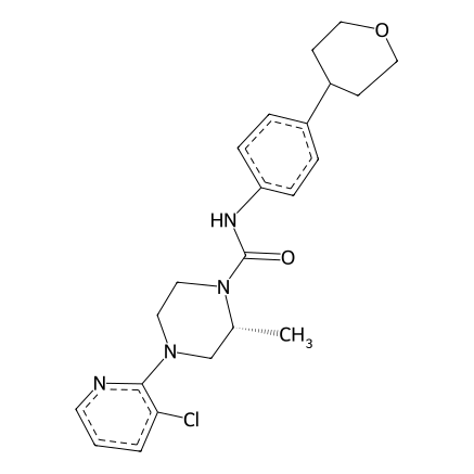 C[C@@H]1CN(c2ncccc2Cl)CCN1C(=O)Nc1ccc(C2CCOCC2)cc1